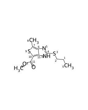 CCCSc1nc2c(C)sc(C(=O)OC)c2[nH]1